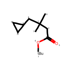 CC(C)(CC(=O)OC(C)(C)C)CC1CC1